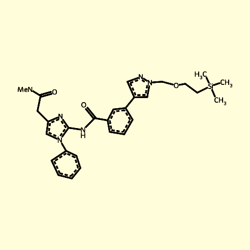 CNC(=O)Cc1cn(-c2ccccc2)c(NC(=O)c2cccc(-c3cnn(COCC[Si](C)(C)C)c3)c2)n1